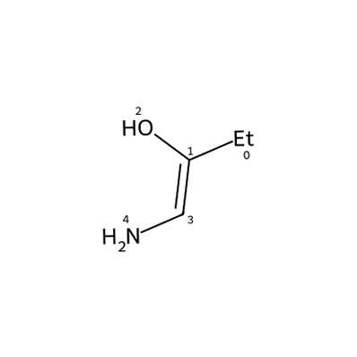 CC/C(O)=C/N